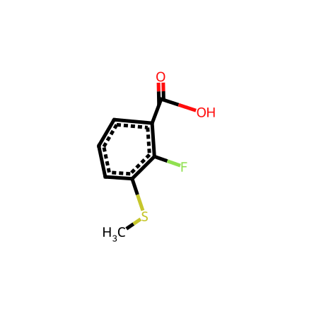 CSc1cccc(C(=O)O)c1F